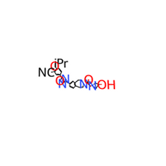 CC(C)Oc1ccc(-c2nc(-c3ccc4c(c3)CCN(C(=O)CN3CC(O)C3)CC4)no2)cc1C#N